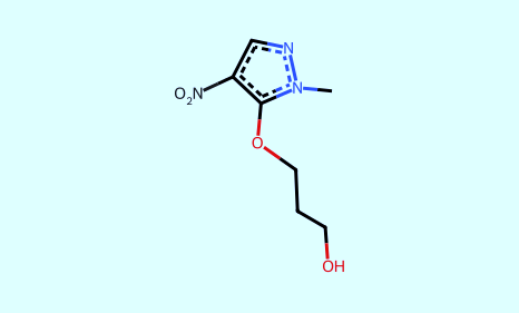 Cn1ncc([N+](=O)[O-])c1OCCCO